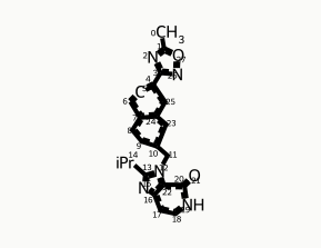 Cc1nc(-c2ccc3ccc(Cn4c(C(C)C)nc5cc[nH]c(=O)c54)cc3c2)no1